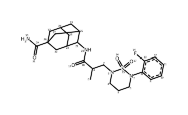 CC(CN1CCCN(c2ccccc2F)S1(=O)=O)C(=O)NC1C2CC3CC1CC(C(N)=O)(C3)C2